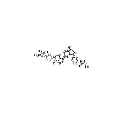 C=CC(=O)Nc1cccc(-n2ccc(=O)c3cnc(Nc4ccc(N5CCN(CC(C)(C)O)CC5)c(F)c4F)nc32)c1